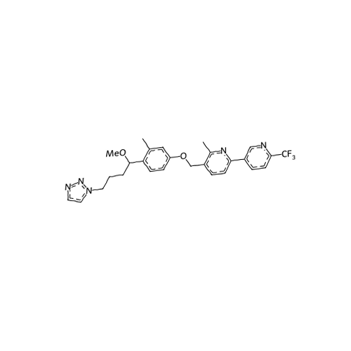 COC(CCCn1ccnn1)c1ccc(OCc2ccc(-c3ccc(C(F)(F)F)nc3)nc2C)cc1C